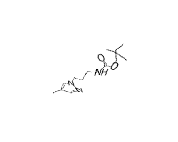 Cc1cnn(CCCNC(=O)OC(C)(C)C)c1